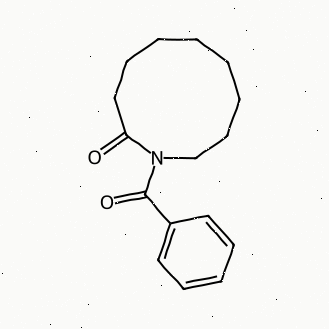 O=C1CCCCCCCCN1C(=O)c1ccccc1